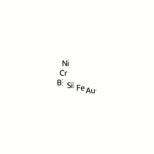 [Au].[B].[Cr].[Fe].[Ni].[Si]